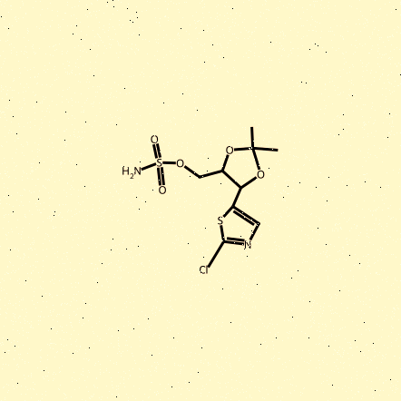 CC1(C)OC(COS(N)(=O)=O)C(c2cnc(Cl)s2)O1